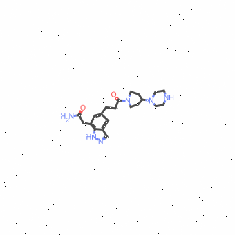 NC(=O)Cc1cc(C[CH]C(=O)N2CCC(N3CCNCC3)CC2)cc2cn[nH]c12